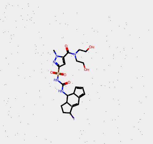 Cn1nc(S(=O)(=O)NC(=O)NC2C3C=CC=C3C=C3C(I)CCC32)cc1C(=O)N(CCO)CCO